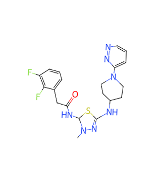 CN1N=C(NC2CCN(c3cccnn3)CC2)SC1NC(=O)Cc1cccc(F)c1F